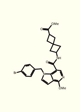 COC(=O)C1CC2(CC(NC(=O)c3cnc(OC)c4ccn(Cc5ccc(Br)cc5)c34)C2)C1